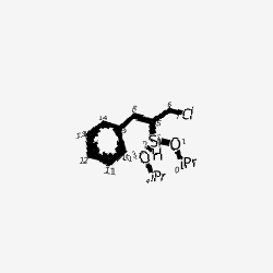 CC(C)O[SiH](OC(C)C)C(CCl)Cc1ccccc1